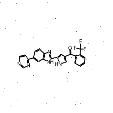 O=C(c1c[nH]c(-c2nc3ccc(-c4ccncn4)cc3[nH]2)c1)c1ccccc1C(F)(F)F